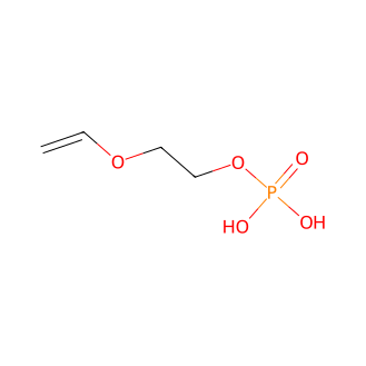 C=COCCOP(=O)(O)O